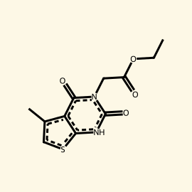 CCOC(=O)Cn1c(=O)[nH]c2scc(C)c2c1=O